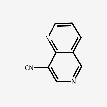 [C-]#[N+]c1cncc2cccnc12